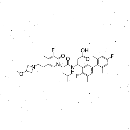 COC1CN(CCc2cn(C(CC(C)C)C(=O)NC(CC(=O)O)c3cc(-c4c(C)cc(F)cc4C)cc(C)c3F)c(=O)c(F)c2C)C1